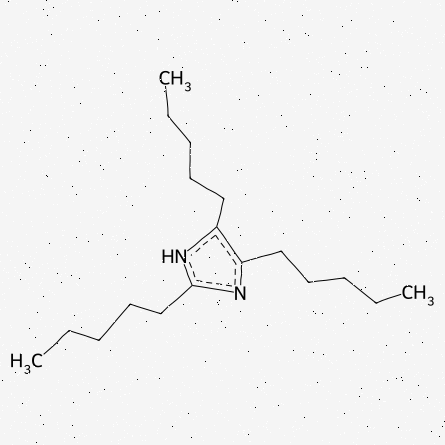 CCCCCc1nc(CCCCC)c(CCCCC)[nH]1